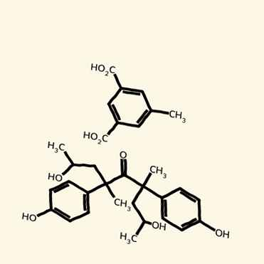 CC(O)CC(C)(C(=O)C(C)(CC(C)O)c1ccc(O)cc1)c1ccc(O)cc1.Cc1cc(C(=O)O)cc(C(=O)O)c1